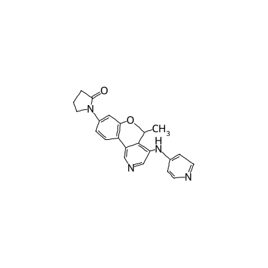 CC1Oc2cc(N3CCCC3=O)ccc2-c2cncc(Nc3ccncc3)c21